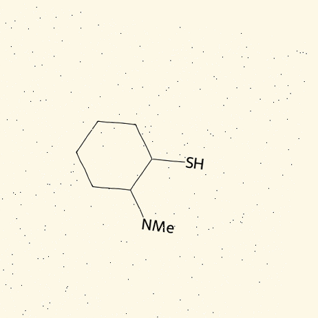 CNC1CCCCC1S